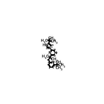 CC(C)(C)c1cccc(CC(C)(C)c2cncc(-[n+]3c[nH]c(C(C)(C)C)c3)n2)n1